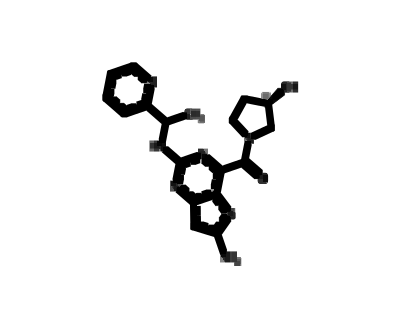 CC(Nc1nc(C(=O)N2CC[C@@H](O)C2)c2sc(N)cc2n1)c1ccccn1